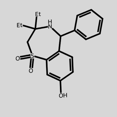 CCC1(CC)CS(=O)(=O)c2cc(O)ccc2C(c2ccccc2)N1